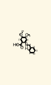 COc1cc(NCc2ccccc2)c(C(=O)O)cc1OC